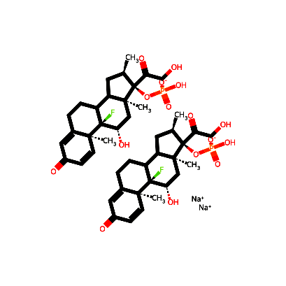 C[C@@H]1CC2C3CCC4=CC(=O)C=C[C@]4(C)[C@@]3(F)[C@@H](O)C[C@]2(C)[C@@]1(OP(=O)([O-])O)C(=O)CO.C[C@@H]1CC2C3CCC4=CC(=O)C=C[C@]4(C)[C@@]3(F)[C@@H](O)C[C@]2(C)[C@@]1(OP(=O)([O-])O)C(=O)CO.[Na+].[Na+]